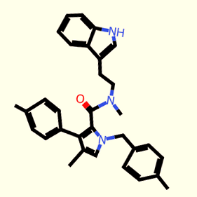 Cc1ccc(Cn2cc(C)c(-c3ccc(C)cc3)c2C(=O)N(C)CCc2c[nH]c3ccccc23)cc1